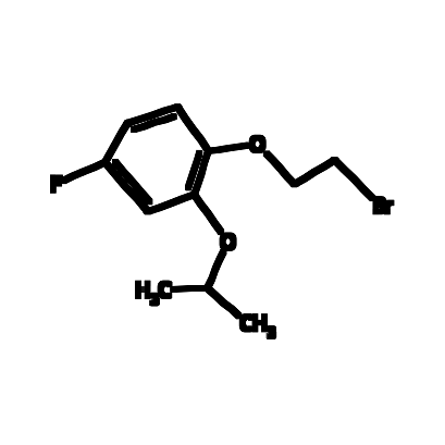 CC(C)Oc1cc(F)ccc1OCCBr